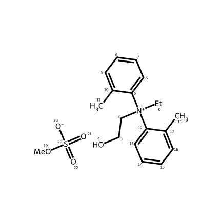 CC[N+](CCO)(c1ccccc1C)c1ccccc1C.COS(=O)(=O)[O-]